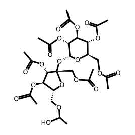 CC(=O)OC[C@H]1O[C@H](O[C@]2(COC(C)=O)O[C@H](COC(C)O)[C@@H](OC(C)=O)[C@@H]2OC(C)=O)[C@H](OC(C)=O)[C@@H](OC(C)=O)[C@@H]1OC(C)=O